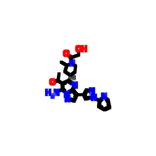 CC(=O)c1c([C@H]2CCN(C(=O)CO)C(C)C2)nc2c(-c3cnn(-c4ccccn4)c3)cnn2c1N